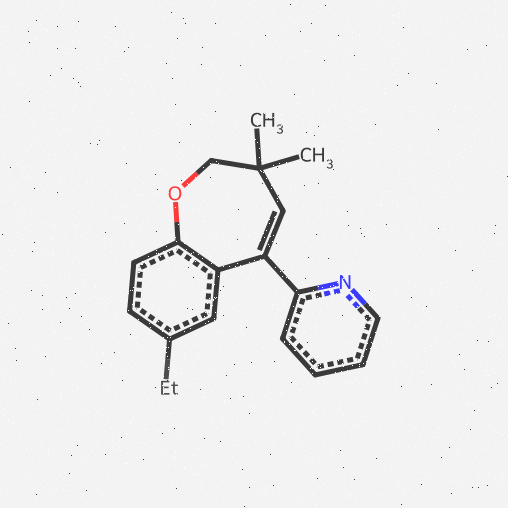 CCc1ccc2c(c1)C(c1ccccn1)=CC(C)(C)CO2